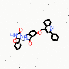 O=C1NC(=O)[C@](CN2Cc3ccc(OCc4cc(-c5ccccc5)nc5ccccc45)cc3C2=O)(c2ccccc2)N1